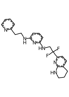 FC(F)(CNc1cccc(NCCc2ccccn2)n1)c1ccc2c(n1)NCCC2